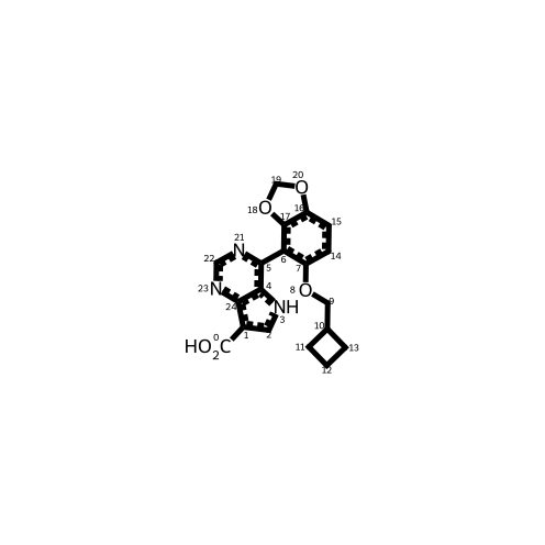 O=C(O)c1c[nH]c2c(-c3c(OCC4CCC4)ccc4c3OCO4)ncnc12